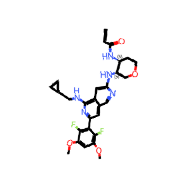 C=CC(=O)N[C@H]1CCOC[C@H]1Nc1cc2c(NCC3CC3)nc(-c3c(F)c(OC)cc(OC)c3F)cc2cn1